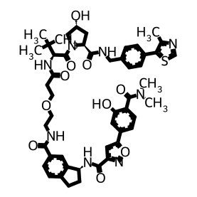 Cc1ncsc1-c1ccc(CNC(=O)[C@@H]2C[C@@H](O)CN2C(=O)[C@@H](NC(=O)CCOCCNC(=O)c2ccc3c(c2)[C@H](NC(=O)c2cc(-c4ccc(C(=O)N(C)C)c(O)c4)on2)CC3)C(C)(C)C)cc1